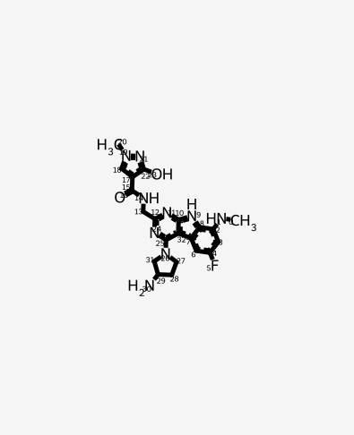 CNc1cc(F)cc2c1[nH]c1nc(CNC(=O)c3cn(C)nc3O)nc(N3CCC(N)C3)c12